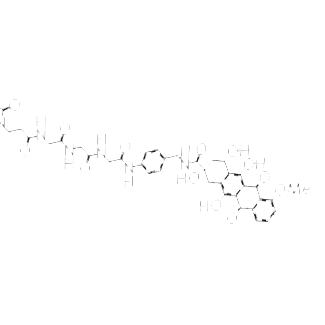 COc1cccc2c1C(=O)c1c(O)c3c(c(O)c1C2=O)C[C@@](O)(C(=O)NCc1ccc(NC(=O)CNC(=O)CNC(=O)CNC(=O)CCN2C(=O)C=CC2=O)cc1)C[C@@H]3O